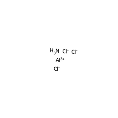 N.[Al+3].[Cl-].[Cl-].[Cl-]